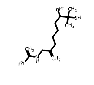 C=C(CCCCC(CCC)C(C)(C)S)CNC(=C)CCC